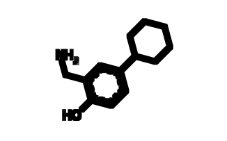 NCc1cc(C2CCCCC2)ccc1O